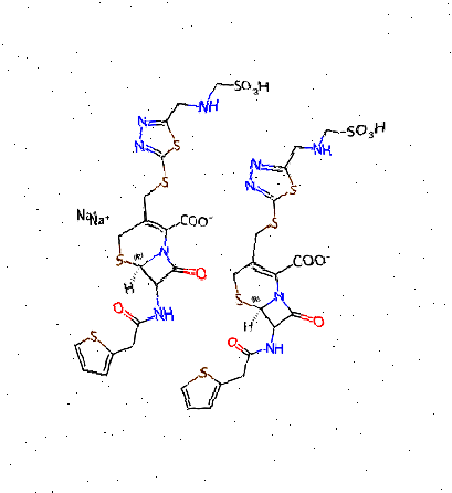 O=C(Cc1cccs1)NC1C(=O)N2C(C(=O)[O-])=C(CSc3nnc(CNCS(=O)(=O)O)s3)CS[C@H]12.O=C(Cc1cccs1)NC1C(=O)N2C(C(=O)[O-])=C(CSc3nnc(CNCS(=O)(=O)O)s3)CS[C@H]12.[Na+].[Na+]